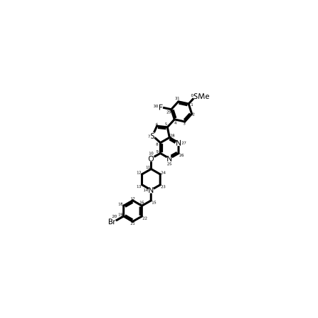 CSc1ccc(-c2csc3c(OC4CCN(Cc5ccc(Br)cc5)CC4)ncnc23)c(F)c1